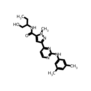 CCC(CO)NC(=O)c1cc(-c2ccnc(Nc3cc(C)cc(C)c3)n2)nn1C